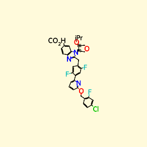 CC(C)O[C@H]1COC[C@H]1n1c(Cc2cc(F)c(-c3cccc(OCc4ccc(Cl)cc4F)n3)cc2F)nc2ccc(C(=O)O)cc21